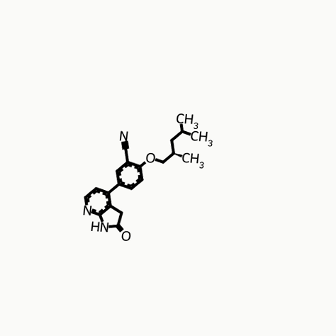 CC(C)C[C@@H](C)COc1ccc(-c2ccnc3c2CC(=O)N3)cc1C#N